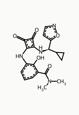 CN(C)C(=O)c1cccc(Nc2c(N[C@@H](c3ccno3)C3CC3)c(=O)c2=O)c1O